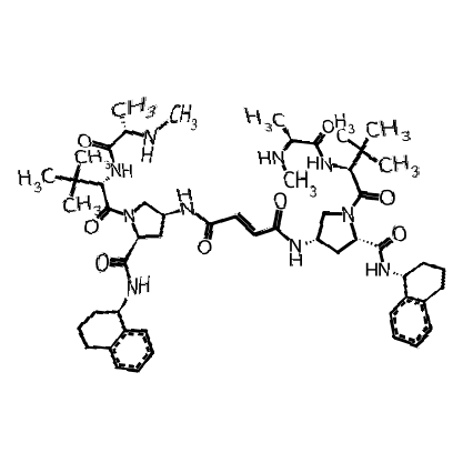 CN[C@@H](C)C(=O)N[C@H](C(=O)N1C[C@@H](NC(=O)/C=C/C(=O)N[C@H]2C[C@@H](C(=O)N[C@@H]3CCCc4ccccc43)N(C(=O)[C@@H](NC(=O)[C@H](C)NC)C(C)(C)C)C2)C[C@H]1C(=O)N[C@@H]1CCCc2ccccc21)C(C)(C)C